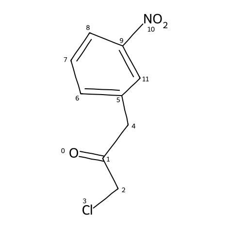 O=C(CCl)Cc1cccc([N+](=O)[O-])c1